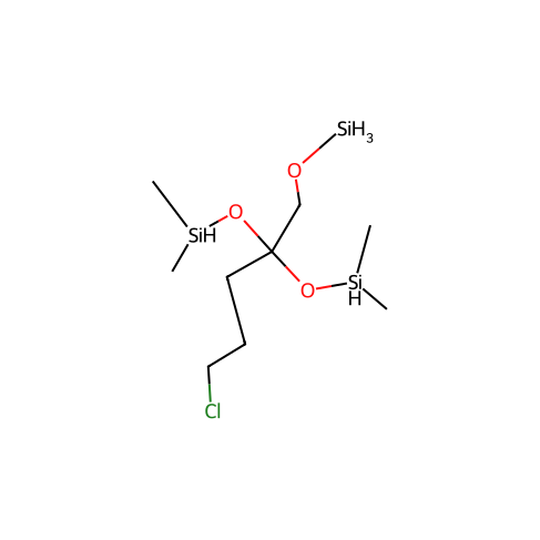 C[SiH](C)OC(CCCCl)(CO[SiH3])O[SiH](C)C